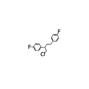 Fc1ccc(CCC(CCl)c2ccc(F)cc2)cc1